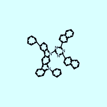 c1ccc(-c2ccc3c(c2)c2cc4c5ccccc5n(-c5ccccc5)c4cc2n3-c2nc(-c3ccc4ccccc4c3)nc(-c3ccc4ccccc4c3)n2)cc1